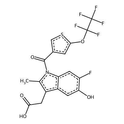 Cc1c(CC(=O)O)c2cc(O)c(F)cc2n1C(=O)c1csc(OC(F)(F)C(F)(F)F)c1